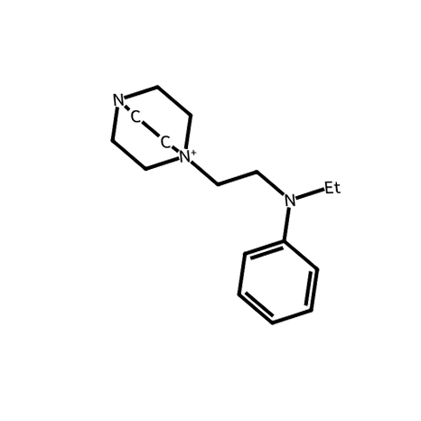 CCN(CC[N+]12CCN(CC1)CC2)c1ccccc1